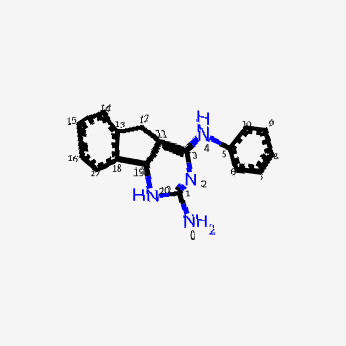 NC1=NC(Nc2ccccc2)=C2Cc3ccccc3C2N1